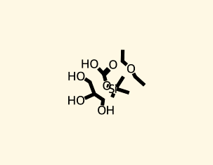 CCOCC.C[Si](C)(C)OC(=O)O.OCC(O)CO